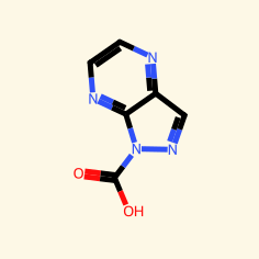 O=C(O)n1ncc2nccnc21